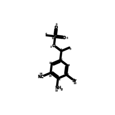 CC(OS(C)(=O)=O)c1cc(Br)c(N)c(C#N)c1